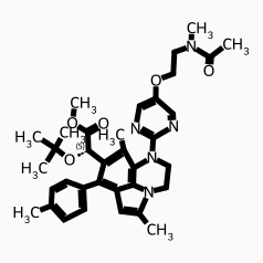 COC(=O)[C@@H](OC(C)(C)C)c1c(C)c2c3c(cc(C)n3CCN2c2ncc(OCCN(C)C(C)=O)cn2)c1-c1ccc(C)cc1